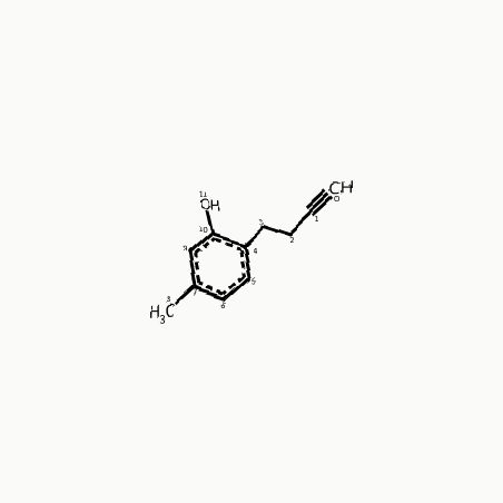 C#CCCc1ccc(C)cc1O